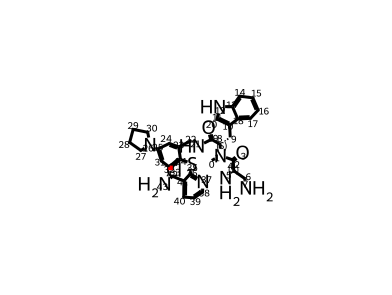 CN(C(=O)[C@@H](N)CN)[C@@H](Cc1c[nH]c2ccccc12)C(=O)NCc1cc(N2CCCC2)cc(Cl)c1Sc1ncccc1CN